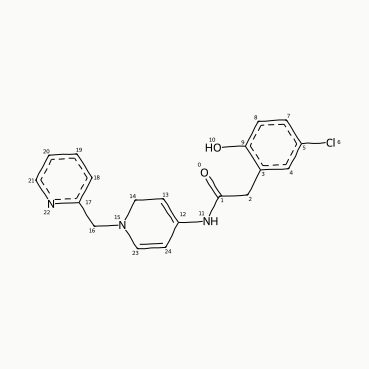 O=C(Cc1cc(Cl)ccc1O)NC1=CCN(Cc2ccccn2)C=C1